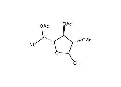 CC(=O)OC(C#N)[C@H]1OC(O)[C@@H](OC(C)=O)[C@@H]1OC(C)=O